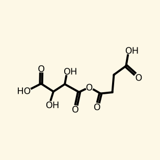 O=C(O)CCC(=O)OC(=O)C(O)C(O)C(=O)O